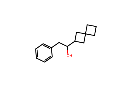 OC(Cc1ccccc1)C1CC2(CCC2)C1